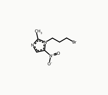 Cc1ncc([N+](=O)[O-])n1CCCBr